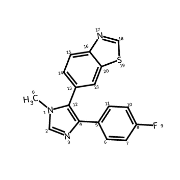 Cn1cnc(-c2ccc(F)cc2)c1-c1ccc2ncsc2c1